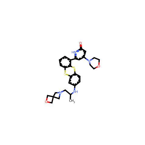 CC(CN1CC2(COC2)C1)Nc1ccc2c(c1)Sc1cccc(-c3cc(N4CCOCC4)cc(=O)[nH]3)c1S2